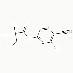 C[C@@](O)(CBr)C(=O)Nc1ccc(C#N)c(Cl)c1